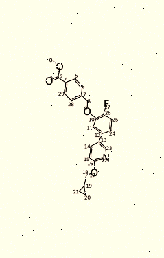 COC(=O)c1ccc(COc2cc(-c3ccc(OCC4CC4)nc3)ccc2F)cc1